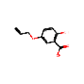 C=CCOc1ccc(O)c(C(=O)O)c1